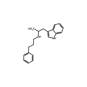 O=C(O)C(Cc1c[nH]c2ccccc12)NCCCc1ccccc1